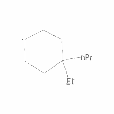 CCCC1(CC)CC[CH]CC1